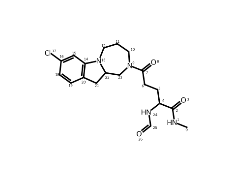 CNC(=O)C(CCC(=O)N1CCCN2c3cc(Cl)ccc3CC2C1)NC=O